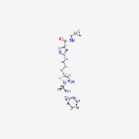 O=C(NCC1CC1)c1cn(CCCCC2=CNN(C(=O)NCc3ccccn3)S2)nn1